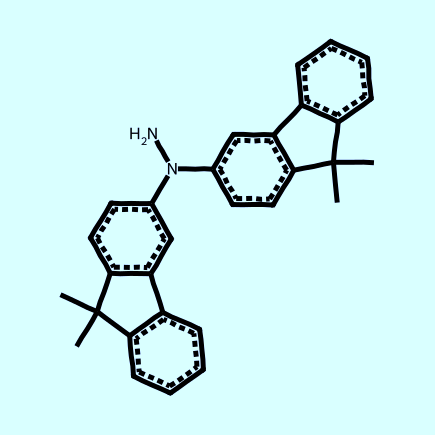 CC1(C)c2ccccc2-c2cc(N(N)c3ccc4c(c3)-c3ccccc3C4(C)C)ccc21